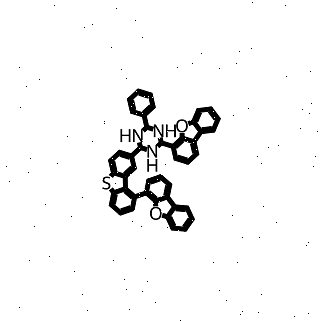 c1ccc(C2NC(c3ccc4sc5cccc(-c6cccc7c6oc6ccccc67)c5c4c3)NC(c3cccc4c3oc3ccccc34)N2)cc1